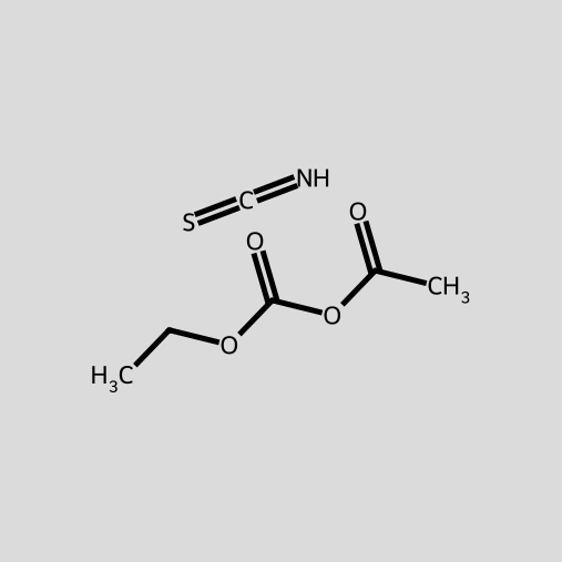 CCOC(=O)OC(C)=O.N=C=S